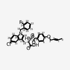 CC#CCOc1ccc(S(=O)(=O)N[C@@H](Cc2cn(Cc3ccccc3F)c3ccc(Cl)cc23)C(=O)O)cc1